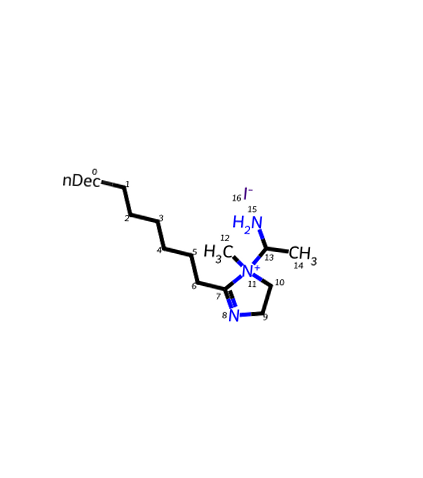 CCCCCCCCCCCCCCCCC1=NCC[N+]1(C)C(C)N.[I-]